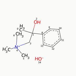 CC(O)(C[N+](C)(C)C)c1ccccc1.[OH-]